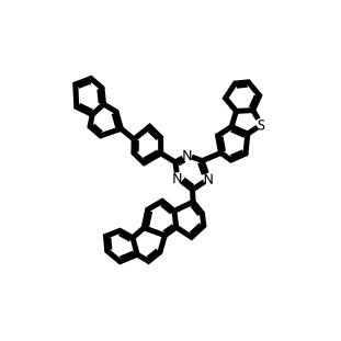 C1=CCC2C(=C1)Sc1ccc(-c3nc(-c4ccc(-c5ccc6ccccc6c5)cc4)nc(-c4cccc5c4ccc4c6ccccc6ccc54)n3)cc12